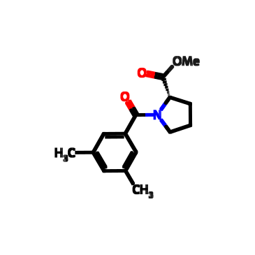 COC(=O)[C@@H]1CCCN1C(=O)c1cc(C)cc(C)c1